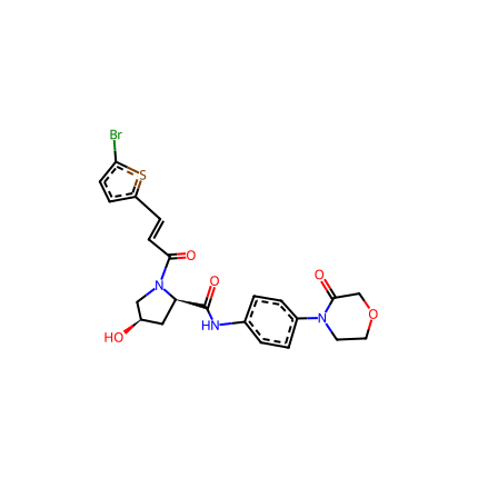 O=C(Nc1ccc(N2CCOCC2=O)cc1)[C@H]1C[C@@H](O)CN1C(=O)/C=C/c1ccc(Br)s1